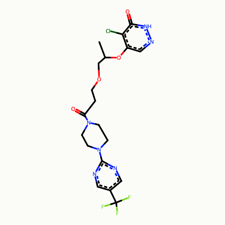 CC(COCCC(=O)N1CCN(c2ncc(C(F)(F)F)cn2)CC1)Oc1cn[nH]c(=O)c1Cl